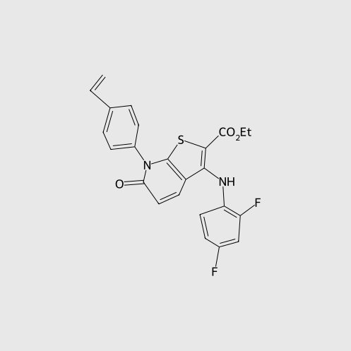 C=Cc1ccc(-n2c(=O)ccc3c(Nc4ccc(F)cc4F)c(C(=O)OCC)sc32)cc1